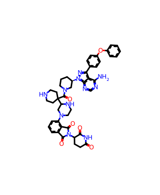 Nc1ncnc2c1c(-c1ccc(Oc3ccccc3)cc1)nn2[C@@H]1CCCN(C(=O)C2(C3CN(c4cccc5c4C(=O)N(C4CCC(=O)NC4=O)C5=O)CCN3)CCNCC2)C1